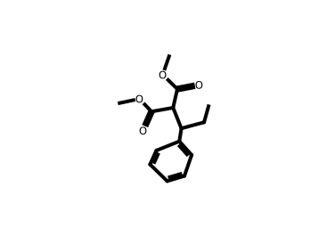 CCC(c1ccccc1)C(C(=O)OC)C(=O)OC